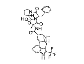 CN1C[C@H](C(=O)N[C@]2(C)O[C@@]3(O)[C@@H]4CCCN4C(=O)[C@H](Cc4ccccc4)N3C2=O)C=C2c3cccc4[nH]c(C(F)(F)F)c(c34)C[C@H]21